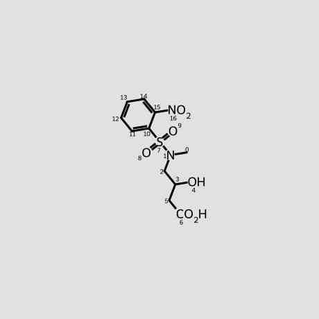 CN(CC(O)CC(=O)O)S(=O)(=O)c1ccccc1[N+](=O)[O-]